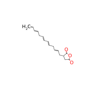 C=CC=CCC=CC=CCC=CCC1CC(=O)OC1=O